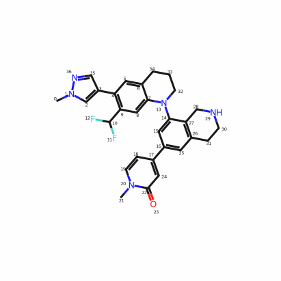 Cn1cc(-c2cc3c(cc2C(F)F)N(c2cc(-c4ccn(C)c(=O)c4)cc4c2CNCC4)CCC3)cn1